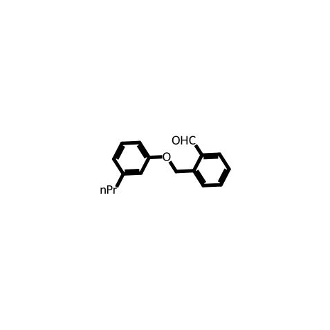 CCCc1cccc(OCc2ccccc2C=O)c1